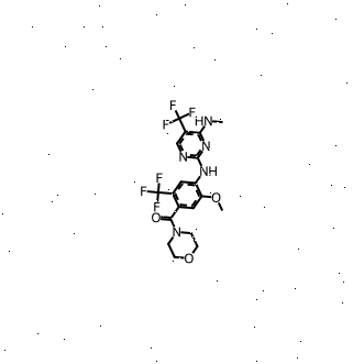 CNc1nc(Nc2cc(C(F)(F)F)c(C(=O)N3CCOCC3)cc2OC)ncc1C(F)(F)F